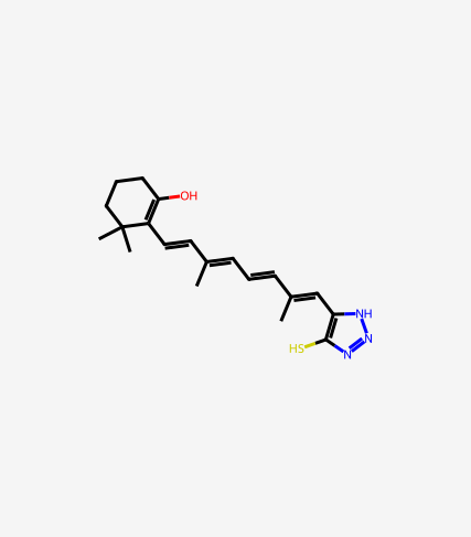 CC(/C=C/C1=C(O)CCCC1(C)C)=C\C=C\C(C)=C\c1[nH]nnc1S